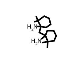 CC1(C)CCCCC1(N)CC1(N)CCCCC1(C)C